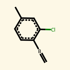 C=Bc1ccc(C)cc1Cl